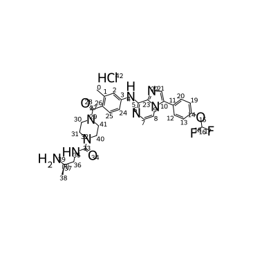 Cc1cc(Nc2nccn3c(-c4ccc(OC(F)F)cc4)cnc23)ccc1C(=O)N1CCN(C(=O)NC[C@@H](C)N)CC1.Cl